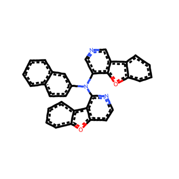 c1ccc2cc(N(c3cncc4c3oc3ccccc34)c3nccc4oc5ccccc5c34)ccc2c1